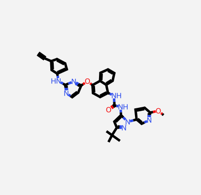 C#Cc1cccc(Nc2nccc(Oc3ccc(NC(=O)Nc4cc(C(C)(C)C)nn4-c4ccc(OC)nc4)c4ccccc34)n2)c1